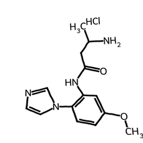 COc1ccc(-n2ccnc2)c(NC(=O)CC(C)N)c1.Cl